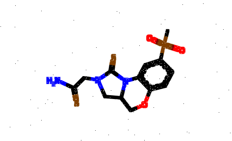 CS(=O)(=O)c1ccc2c(c1)N1C(=S)N(CC(N)=S)CC1CO2